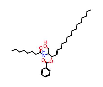 CCCCCCCCCCCCC/C=C/[C@@H](OC(=O)c1ccccc1)[C@H](CO)NC(=O)CCCCCCC